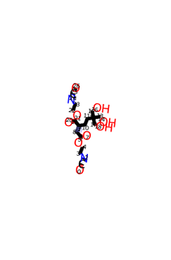 O=C=NCCOC(=O)/C=C(\CCC(CO)(CO)CO)C(=O)OCCN=C=O